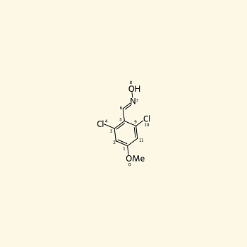 COc1cc(Cl)c(/C=N/O)c(Cl)c1